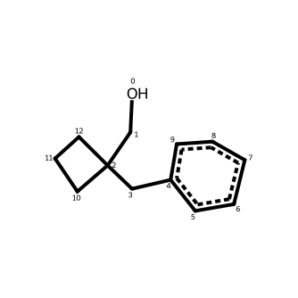 OCC1(Cc2ccccc2)CCC1